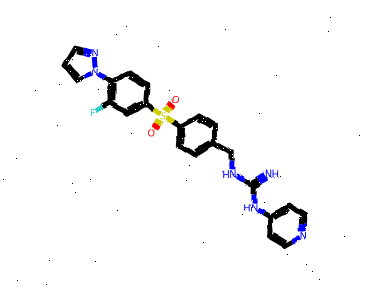 N=C(NCc1ccc(S(=O)(=O)c2ccc(-n3cccn3)c(F)c2)cc1)Nc1ccncc1